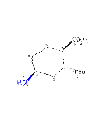 CCCC[C@@H]1C[C@@H](N)CC[C@H]1C(=O)OCC